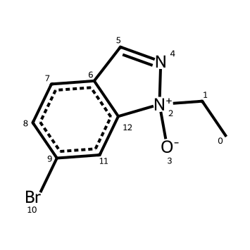 CC[N+]1([O-])N=Cc2ccc(Br)cc21